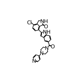 O=C1NCc2c(Cl)ccc(-c3cc4cc(C(=O)N5CCN(c6ccncc6)CC5)ccc4[nH]3)c21